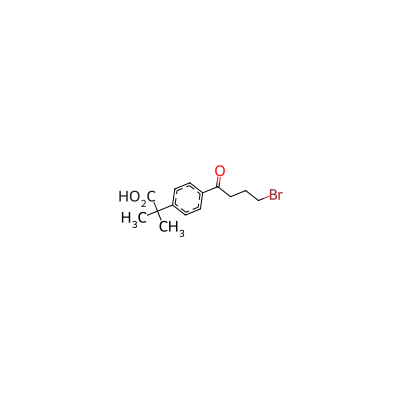 CC(C)(C(=O)O)c1ccc(C(=O)CCCBr)cc1